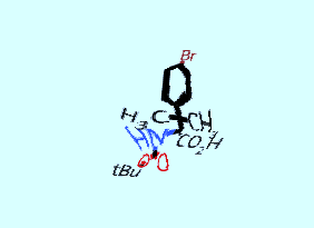 CC(C)(C)OC(=O)N[C@H](C(=O)O)C(C)(C)c1ccc(Br)cc1